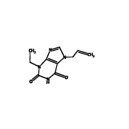 C=CCn1cnc2c1c(=O)[nH]c(=O)n2CC